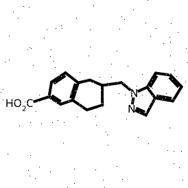 O=C(O)c1ccc2c(c1)CCC(Cn1ncc3ccccc31)C2